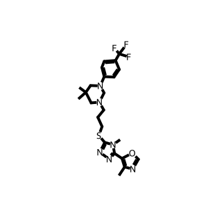 Cc1ncoc1-c1nnc(SCCCN2CN(c3ccc(C(F)(F)F)cc3)CC(C)(C)C2)n1C